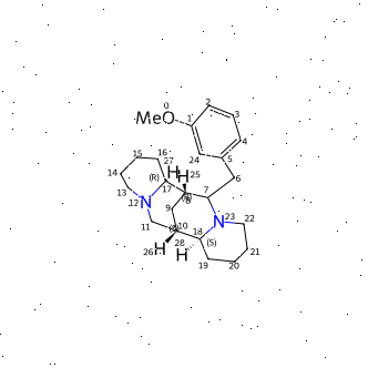 COc1cccc(CC2[C@@H]3C[C@@H](CN4CCCC[C@H]34)[C@@H]3CCCCN23)c1